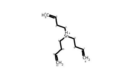 C=CC[CH2][SnH]([CH2]CC=C)[CH2]CC=C